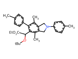 CCOC(=O)C(OC(C)(C)C)c1c(C)c2c(c(C)c1-c1ccc(C)cc1)CN(c1ccc(C)cc1)C2